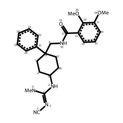 CN/C(=N\C#N)NC1CCC(CNC(=O)c2cccc(OC)c2OC)(c2ccccc2)CC1